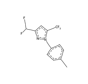 Cc1ccc(-n2nc(C(F)F)cc2C(F)(F)F)cc1